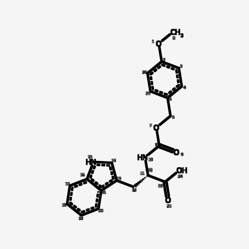 COc1ccc(COC(=O)N[C@@H](Cc2c[nH]c3ccccc23)C(=O)O)cc1